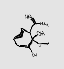 COC1(O)C(O)=CC=CC1C(=N)N